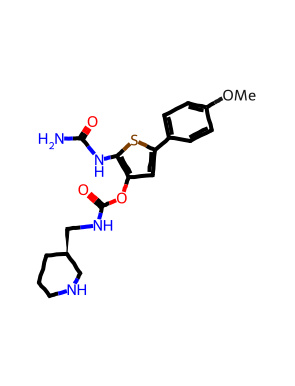 COc1ccc(-c2cc(OC(=O)NC[C@@H]3CCCNC3)c(NC(N)=O)s2)cc1